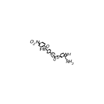 NCCc1c[nH]c2ccc(OCC(=O)N3CCN(c4ccc(NC(=O)c5ccc([N+](=O)[O-])cc5)cc4)CC3)cc12